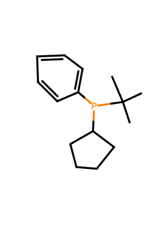 CC(C)(C)P(c1ccccc1)C1CCCC1